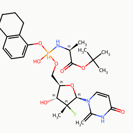 C=C1NC(=O)C=CN1[C@@H]1O[C@H](CO[PH](O)(N[C@@H](C)C(=O)OC(C)(C)C)Oc2cccc3c2CCCC3)[C@@H](O)[C@@]1(C)F